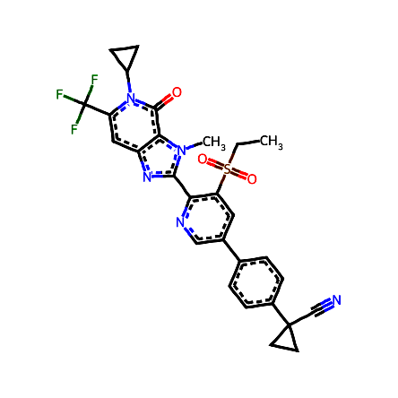 CCS(=O)(=O)c1cc(-c2ccc(C3(C#N)CC3)cc2)cnc1-c1nc2cc(C(F)(F)F)n(C3CC3)c(=O)c2n1C